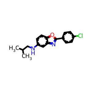 CC(C)CNc1ccc2oc(-c3ccc(Cl)cc3)nc2c1